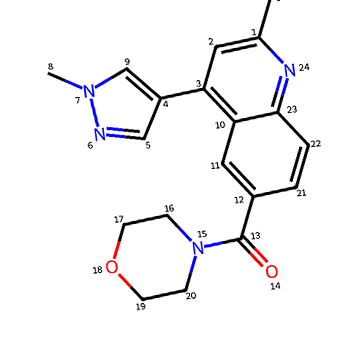 Cc1cc(-c2cnn(C)c2)c2cc(C(=O)N3CCOCC3)ccc2n1